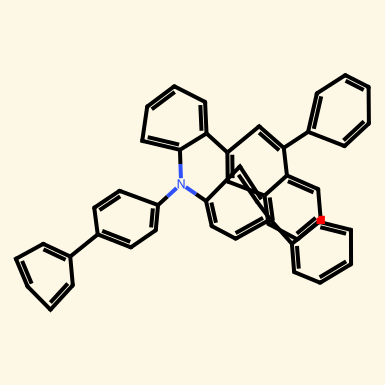 c1ccc(-c2ccc(N(c3ccc(-c4ccccc4)cc3)c3ccccc3-c3cc(-c4ccccc4)c4ccccc4c3)cc2)cc1